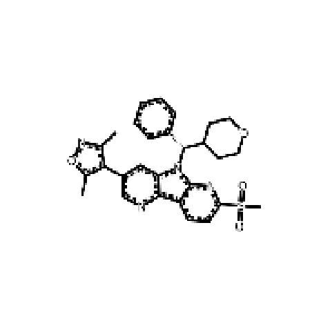 Cc1noc(C)c1-c1cnc2c3ccc(S(C)(=O)=O)nc3n([C@H](c3ccccc3)C3CCOCC3)c2c1